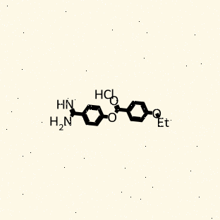 CCOc1ccc(C(=O)Oc2ccc(C(=N)N)cc2)cc1.Cl